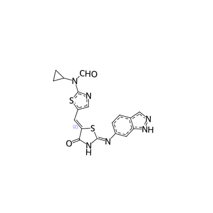 O=CN(c1ncc(/C=C2\SC(=Nc3ccc4cn[nH]c4c3)NC2=O)s1)C1CC1